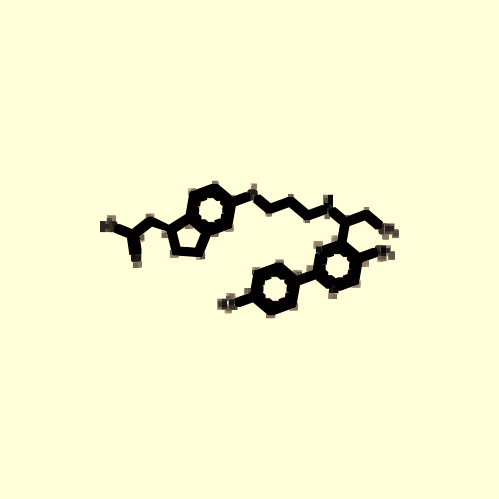 CCC(NCCCOc1ccc2c(c1)CC[C@H]2CC(=O)O)c1nc(-c2ccc(C)cc2)ncc1C